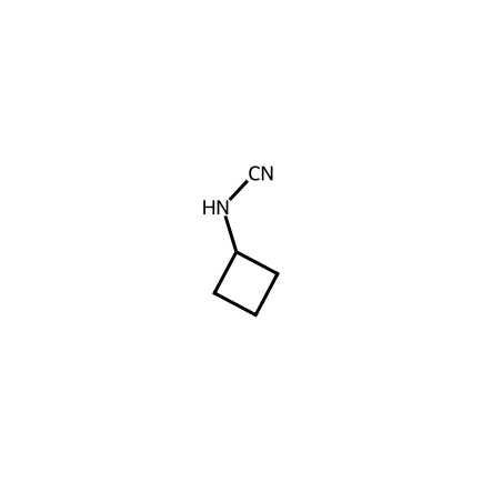 N#CNC1CCC1